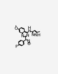 COc1ccc2c(Nc3cc(C)[nH]n3)nc(C(N=O)c3ccc(F)cc3)nc2c1